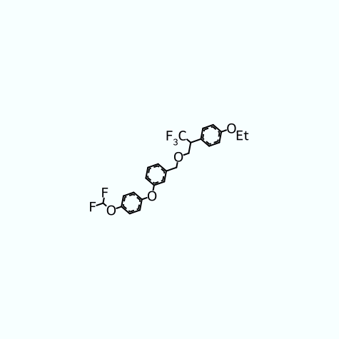 CCOc1ccc(C(COCc2cccc(Oc3ccc(OC(F)F)cc3)c2)C(F)(F)F)cc1